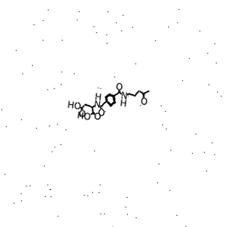 CC(=O)CCCNC(=O)c1ccc(C(=O)NC(CC(=O)O)C(=O)O)cc1